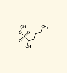 CCCCC(O)S(=O)(=O)OO